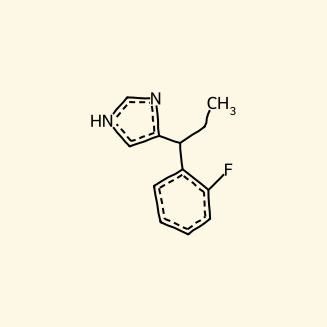 CCC(c1c[nH]cn1)c1ccccc1F